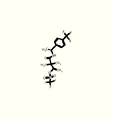 C=C(OS(=O)(=O)C(F)(F)F)C(C)(C)C(=O)N[C@@H](C)c1ccc(C(F)(F)F)cc1